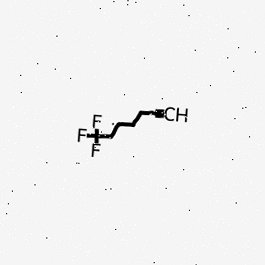 C#CCC[CH]CC(F)(F)F